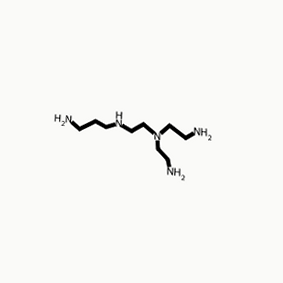 NCCCNCCN(CCN)CCN